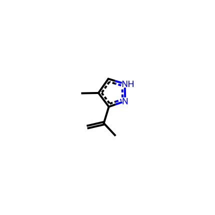 C=C(C)c1n[nH]cc1C